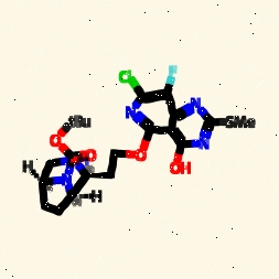 CSc1nc(O)c2c(OCC[C@@H]3NC[C@@H]4CC[C@H]3N4C(=O)OC(C)(C)C)nc(Cl)c(F)c2n1